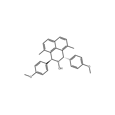 COc1ccc([C@H]2c3c(C)ccc4ccc(C)c(c34)[C@H](c3ccc(OC)cc3)N2O)cc1